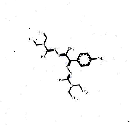 CCN(CC)/C(S)=N/N=C(C)/C(=N/N=C(\S)N(CC)CC)c1ccc(C)cc1